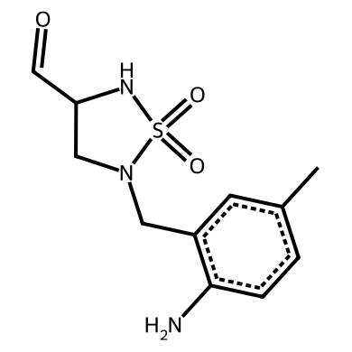 Cc1ccc(N)c(CN2CC(C=O)NS2(=O)=O)c1